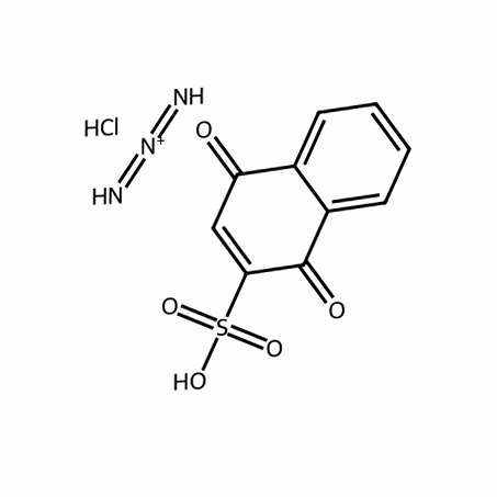 Cl.N=[N+]=N.O=C1C=C(S(=O)(=O)O)C(=O)c2ccccc21